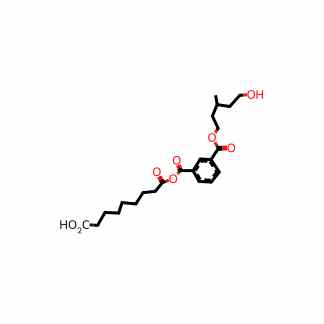 CC(CCO)CCOC(=O)c1cccc(C(=O)OC(=O)CCCCCCCC(=O)O)c1